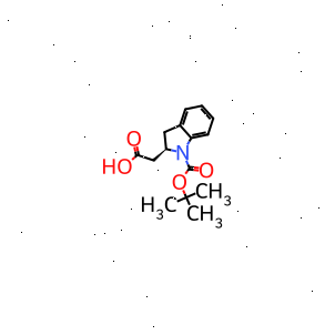 CC(C)(C)OC(=O)N1c2ccccc2C[C@@H]1CC(=O)O